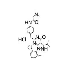 Cc1cccc(Cl)c1-n1[nH]c(C(C)C)c2c(=O)nc(Cc3ccc(NC(=O)CN(C)C)cc3)nc1-2.Cl